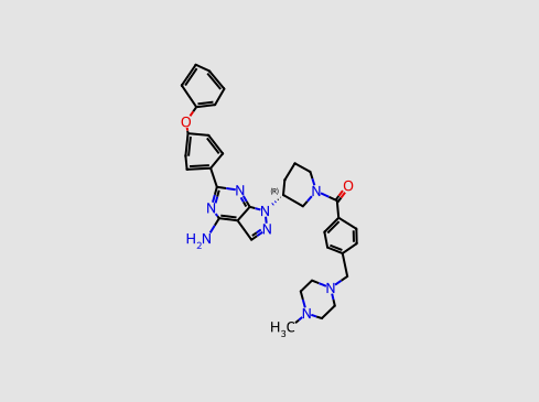 CN1CCN(Cc2ccc(C(=O)N3CCC[C@@H](n4ncc5c(N)nc(-c6ccc(Oc7ccccc7)cc6)nc54)C3)cc2)CC1